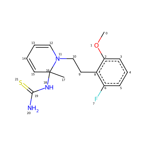 COc1cccc(F)c1CCN1C=CC=CC1(C)NC(N)=S